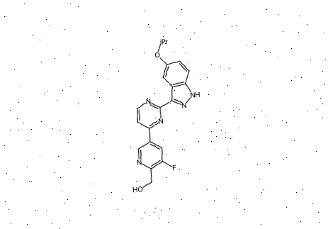 CC(C)Oc1ccc2[nH]nc(-c3nccc(-c4cnc(CO)c(F)c4)n3)c2c1